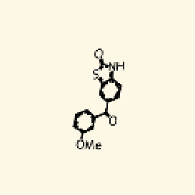 COc1cccc(C(=O)c2ccc3[nH]c(=O)sc3c2)c1